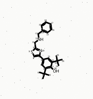 CC(C)(C)c1cc(-c2csc(CNCc3ccccc3)n2)cc(C(C)(C)C)c1O